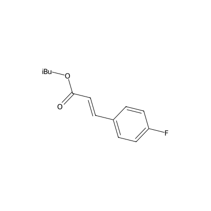 CCC(C)OC(=O)/C=C/c1ccc(F)cc1